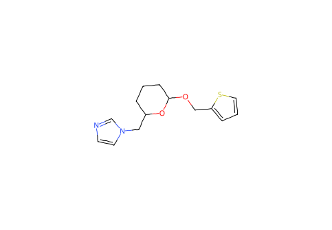 c1csc(COC2CCCC(Cn3ccnc3)O2)c1